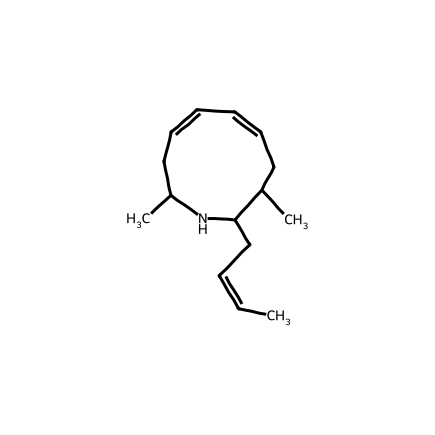 C/C=C\CC1NC(C)C/C=C\C=C/CC1C